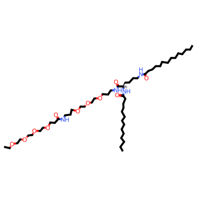 CCCCCCCCCCCCCC(=O)NCCCC[C@@H](NC(=O)CCCCCCCCCCCCC)C(=O)NCCCOCCOCCOCCCNC(=O)CCOCCOCCOCCOCC